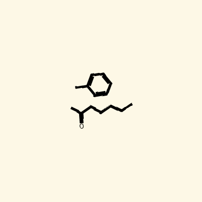 CCCCCC(C)=O.Cc1ccccc1